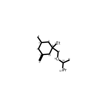 C=C1CC(C)CC(CC)(COC(C)C(C)C)C1